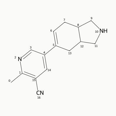 Cc1ncc(C2=CCC3CNCC3C2)cc1C#N